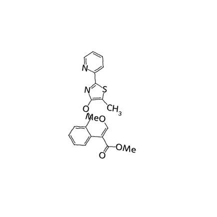 CO/C=C(/C(=O)OC)c1ccccc1COc1nc(-c2ccccn2)sc1C